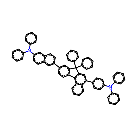 c1ccc(N(c2ccccc2)c2ccc(-c3cc4c(c5ccccc35)-c3ccc(-c5ccc6cc(N(c7ccccc7)c7ccccc7)ccc6c5)cc3C4(c3ccccc3)c3ccccc3)cc2)cc1